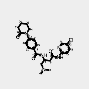 CN(C)CC(CC(=O)Nc1ccc(Cl)cn1)NC(=O)c1ccc(N2CCCCC2=O)cc1